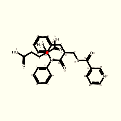 NC(CCC(=O)O)(C(=O)O)N(C(=O)C(CSC(=O)c1cccnc1)Cc1ccccc1)c1ccccc1